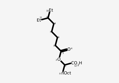 CCCCCCCCC(OC(=O)CCCCC(CC)CC)C(=O)O